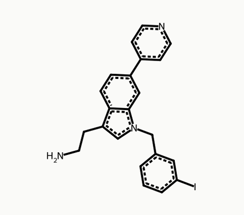 NCCc1cn(Cc2cccc(I)c2)c2cc(-c3ccncc3)ccc12